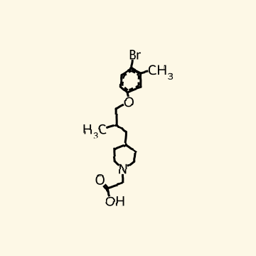 Cc1cc(OCC(C)CC2CCN(CC(=O)O)CC2)ccc1Br